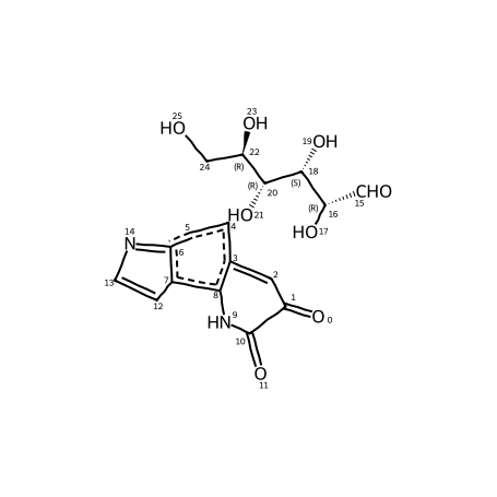 O=C1C=c2ccc3c(c2NC1=O)C=CN=3.O=C[C@H](O)[C@@H](O)[C@H](O)[C@H](O)CO